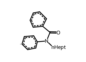 CCCCCCCN(C(=O)c1ccccc1)c1cc[c]cc1